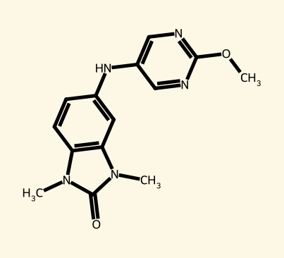 COc1ncc(Nc2ccc3c(c2)n(C)c(=O)n3C)cn1